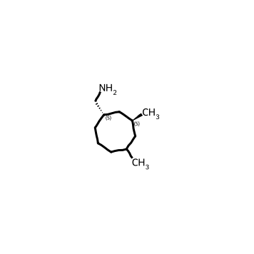 CC1CCC[C@H](CN)C[C@@H](C)C1